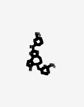 Cc1cccc(Nc2nc3c(s2)CCN(Cc2ccnc(C)n2)c2[nH]ncc2-3)n1